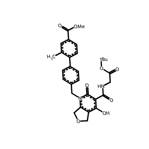 COC(=O)c1ccc(-c2ccc(Cn3c4c(c(O)c(C(=O)NCC(=O)OC(C)(C)C)c3=O)COC4)cc2)c(C)c1